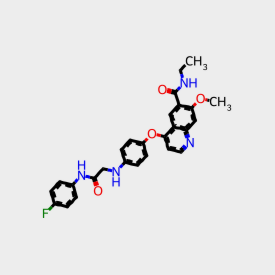 CCNC(=O)c1cc2c(Oc3ccc(NCC(=O)Nc4ccc(F)cc4)cc3)ccnc2cc1OC